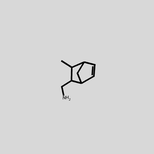 CC1C2C=CC(C2)C1CN